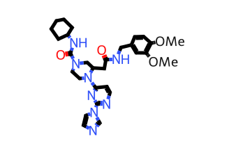 COc1ccc(CNC(=O)CC2CN(C(=O)NC3CCCCC3)CCN2c2ccnc(-n3ccnc3)n2)cc1OC